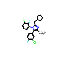 O=C(O)c1nc(CC2CCCC2)n(-c2cccc(Cl)c2F)c1-c1ccc(F)c(Cl)c1